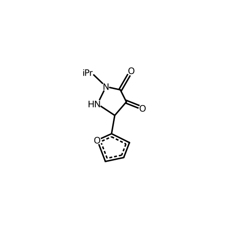 CC(C)N1NC(c2ccco2)C(=O)C1=O